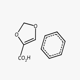 O=C(O)C1=COCO1.c1ccccc1